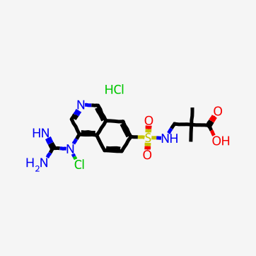 CC(C)(CNS(=O)(=O)c1ccc2c(N(Cl)C(=N)N)cncc2c1)C(=O)O.Cl